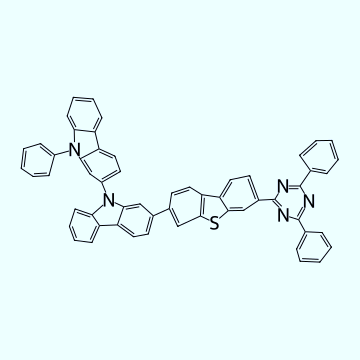 c1ccc(-c2nc(-c3ccccc3)nc(-c3ccc4c(c3)sc3cc(-c5ccc6c7ccccc7n(-c7ccc8c9ccccc9n(-c9ccccc9)c8c7)c6c5)ccc34)n2)cc1